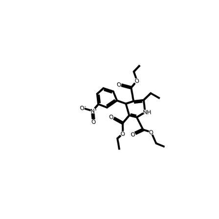 CCOC(=O)C1=C(C(=O)OCC)C(c2cccc([N+](=O)[O-])c2)C(C(=O)OCC)=C(CC)N1